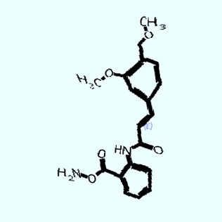 COCc1ccc(/C=C/C(=O)Nc2ccccc2C(=O)ON)cc1OC